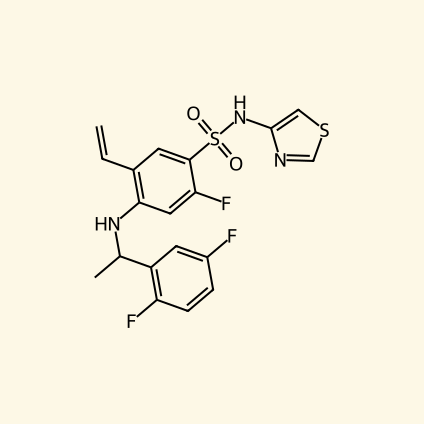 C=Cc1cc(S(=O)(=O)Nc2cscn2)c(F)cc1NC(C)c1cc(F)ccc1F